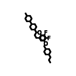 CCCC1CCC(COc2cc3c(c(F)c2F)OC(C2CCC(C4CCC(C)CC4)CC2)CC3)CC1